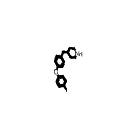 Ic1ccc(Oc2ccc(CC3CCNCC3)cc2)cc1